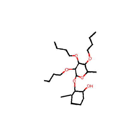 CCCCOC1C(C)OC(OC2C(C)CCCC2O)C(OCCCC)C1OCCCC